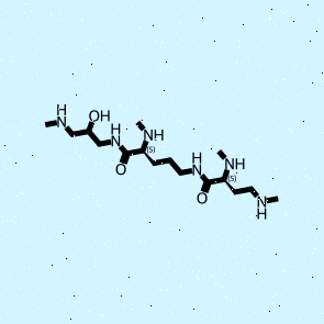 CNCC[C@H](NC)C(=O)NCCC[C@H](NC)C(=O)NCC(O)CNC